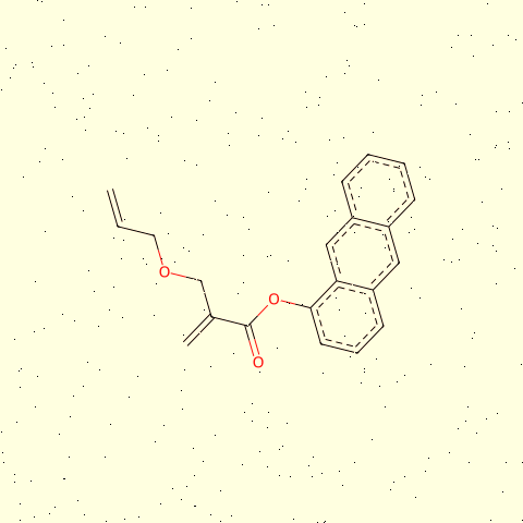 C=CCOCC(=C)C(=O)Oc1cccc2cc3ccccc3cc12